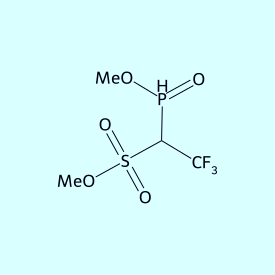 CO[PH](=O)C(C(F)(F)F)S(=O)(=O)OC